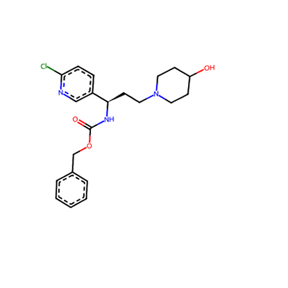 O=C(N[C@H](CCN1CCC(O)CC1)c1ccc(Cl)nc1)OCc1ccccc1